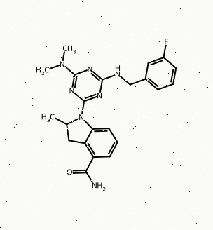 CC1Cc2c(C(N)=O)cccc2N1c1nc(NCc2cccc(F)c2)nc(N(C)C)n1